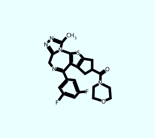 Cc1nnc2n1-c1sc3c(c1C(c1cc(F)cc(F)c1)=NC2)CC(C(=O)N1CCOCC1)C3